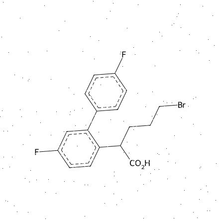 O=C(O)C(CCCBr)c1ccc(F)cc1-c1ccc(F)cc1